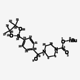 CCCCOC(=O)N1CCN(C(=O)c2ccc(B3OC(C)(C)C(C)(C)O3)cc2)CC1